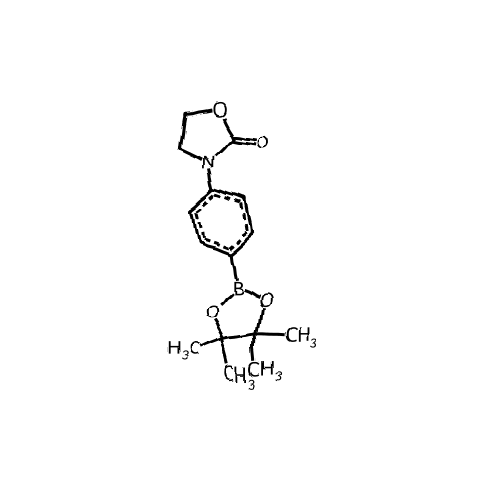 CC1(C)OB(c2ccc(N3CCOC3=O)cc2)OC1(C)C